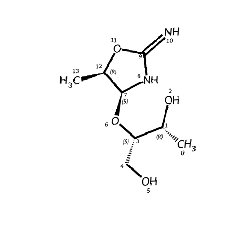 C[C@@H](O)[C@H](CO)O[C@@H]1NC(=N)O[C@@H]1C